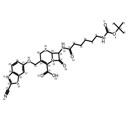 CC(C)(C)OC(=O)NCCCCCC(=O)NC1C(=O)N2C(C(=O)O)=C(COc3ccc4nc(C#N)sc4c3)CSC12